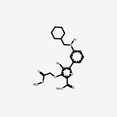 COC(=O)c1sc(-c2cccc(N(CC3CCCCC3)C(C)=O)c2)c(Br)c1OCC(=O)OC(C)(C)C